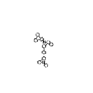 c1ccc(-n2c3ccccc3c3cc(-c4ccc(-c5ccc6c(c5)c5c7ccccc7ccc5n6-c5ccc6c7ccccc7c7ccccc7c6c5)cc4)ccc32)cc1